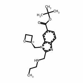 CCCNCc1nc2ccc(C(=O)OC(C)(C)C)cc2n1C[C@@H]1CCO1